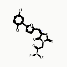 CCN(CC)C(=O)CN1C(=O)/C(=C\c2ccc(-c3cc(Cl)ccc3Cl)o2)SC1=S